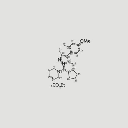 CCOC(=O)C1=CCCN(c2c3c(nc4c(-c5ccc(OC)cc5C)c(C)nn24)CCC3)C1